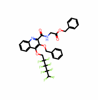 O=C(CNC(=O)c1nc2ccccc2c(OCC(F)(F)C(F)(F)C(F)(F)C(F)F)c1OCc1ccccc1)OCc1ccccc1